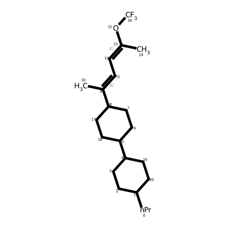 CCCC1CCC(C2CCC(/C(C)=C/C=C(\C)OC(F)(F)F)CC2)CC1